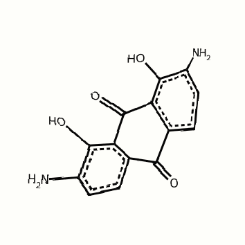 Nc1ccc2c(c1O)C(=O)c1c(ccc(N)c1O)C2=O